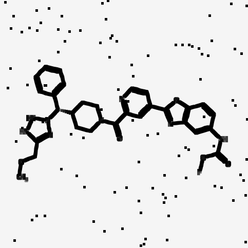 COCC1=NN([C@H](c2ccccc2)C2CCN(C(=O)c3cc(-c4nc5cc(NC(=O)OF)ccc5o4)ccn3)CC2)NN1